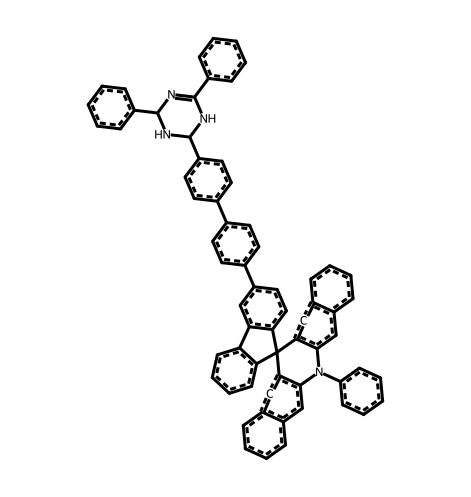 c1ccc(C2=NC(c3ccccc3)NC(c3ccc(-c4ccc(-c5ccc6c(c5)-c5ccccc5C65c6cc7ccccc7cc6N(c6ccccc6)c6cc7ccccc7cc65)cc4)cc3)N2)cc1